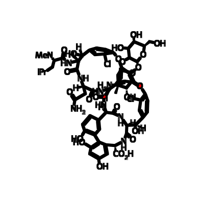 CN[C@H](CC(C)C)C(=O)N[C@H]1C(=O)N[C@@H](CC(N)=O)C(=O)N[C@H]2C(=O)N[C@H]3C(=O)N[C@H](C(=O)N[C@H](C(=O)O)c4cc(O)cc(O)c4-c4cc3ccc4O)[C@H](O)c3ccc(c(Cl)c3)Oc3cc2cc(c3O[C@H]2O[C@H](CO)[C@H](O)C(O)C2O[C@H]2C[C@@](C)(N)[C@@H](O)C(C)O2)Oc2ccc(cc2Cl)[C@H]1O